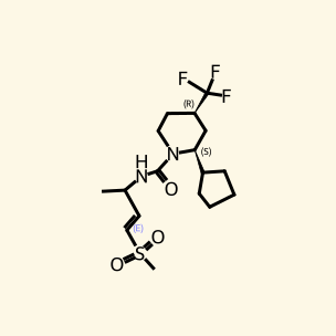 CC(/C=C/S(C)(=O)=O)NC(=O)N1CC[C@@H](C(F)(F)F)C[C@H]1C1CCCC1